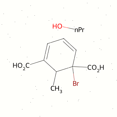 CC1C(C(=O)O)=CC=CC1(Br)C(=O)O.CCCO